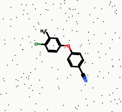 Cc1cc(Oc2ccc(C#N)cc2)ccc1Cl